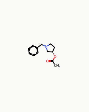 CC(=O)O[C@H]1CCN(Cc2ccccc2)C1